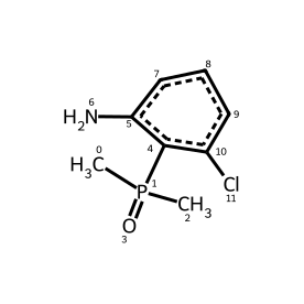 CP(C)(=O)c1c(N)cccc1Cl